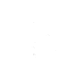 C[C@@H]1CCC[C@H](Nc2cn[nH]c(=O)c2C(F)(F)F)C1